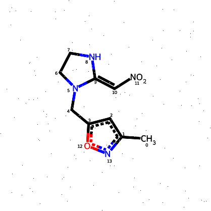 Cc1cc(CN2CCNC2=C[N+](=O)[O-])on1